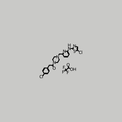 O=C(Cc1ccc(Cl)cc1)N1CCN(Cc2cccc(Nc3ncc(Cl)s3)n2)CC1.O=C(O)C(F)(F)F